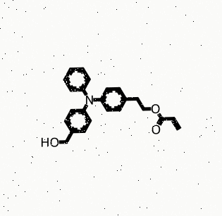 C=CC(=O)OCCc1ccc(N(c2ccccc2)c2ccc(CO)cc2)cc1